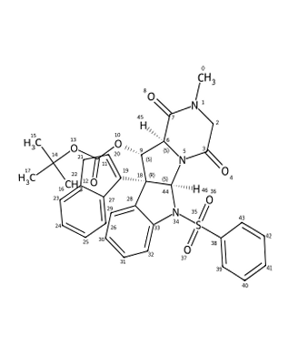 CN1CC(=O)N2[C@H](C1=O)[C@@H](OC(=O)OC(C)(C)C)[C@]1(C3=CCc4ccccc43)c3ccccc3N(S(=O)(=O)c3ccccc3)[C@H]21